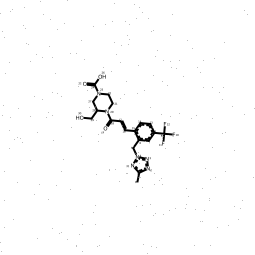 Cc1nnn(Cc2cc(C(F)(F)F)ccc2/C=C/C(=O)N2CCN(C(=O)O)CC2CO)n1